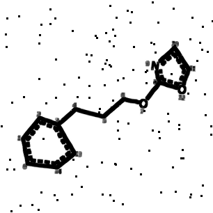 c1ccc(CCCOc2ncco2)cc1